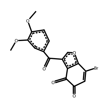 COc1ccc(C(=O)c2coc3c2C(=O)C(=O)C=C3Br)cc1OC